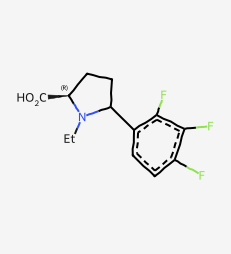 CCN1C(c2ccc(F)c(F)c2F)CC[C@@H]1C(=O)O